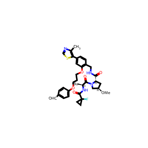 CO[C@@H]1C[C@@H](C(=O)NCc2ccc(-c3scnc3C)cc2OCCCOc2ccc(C=O)cc2)N(C(=O)[C@@H](NC(=O)C2(F)CC2)C(C)(C)C)C1